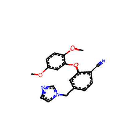 COc1ccc(OC)c(Oc2cc(Cn3ccnc3)ccc2C#N)c1